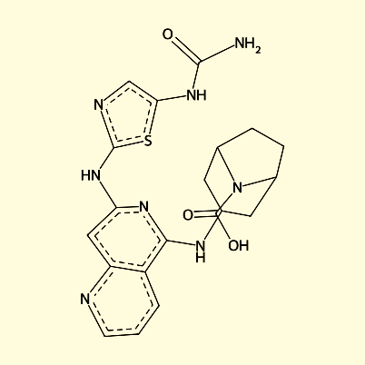 NC(=O)Nc1cnc(Nc2cc3ncccc3c(NC3CC4CCC(C3)N4C(=O)O)n2)s1